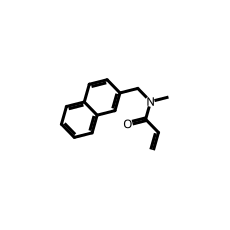 C=CC(=O)N(C)Cc1ccc2ccccc2c1